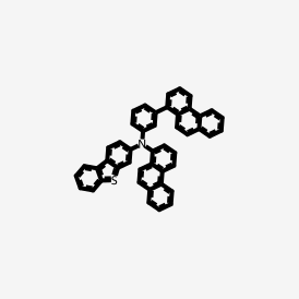 c1cc(-c2cccc3c2ccc2ccccc23)cc(N(c2ccc3c(c2)sc2ccccc23)c2cccc3c2ccc2ccccc23)c1